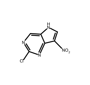 O=[N+]([O-])c1c[nH]c2cnc(Cl)nc12